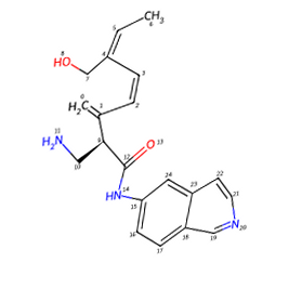 C=C(/C=C\C(=C/C)CO)[C@H](CN)C(=O)Nc1ccc2cnccc2c1